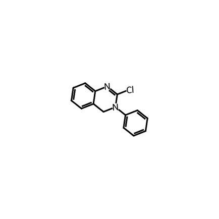 ClC1=Nc2ccccc2CN1c1ccccc1